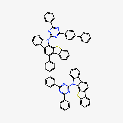 c1ccc(-c2ccc(-c3nc(-c4ccccc4)nc(-n4c5ccccc5c5cc(-c6ccc(-c7cccc(-c8nc(-c9ccccc9)nc(-n9c%10ccccc%10c%10ccc%11c%12ccccc%12sc%11c%109)n8)c7)cc6)c6c7ccccc7sc6c54)n3)cc2)cc1